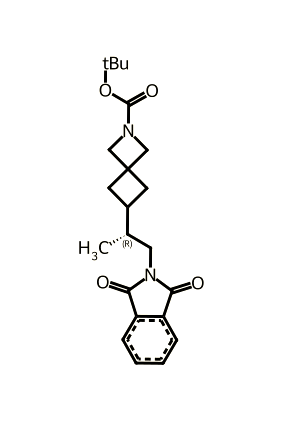 C[C@@H](CN1C(=O)c2ccccc2C1=O)C1CC2(C1)CN(C(=O)OC(C)(C)C)C2